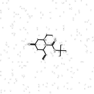 C=CC1CC(=O)C[C@@H](CC)N1C(=O)OC(C)(C)C